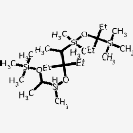 CCC(CC)(O[SiH](C)C(C)O[Si](C)(C)C)C(C)[Si](C)(C)OC(CC)(CC)[Si](C)(C)C